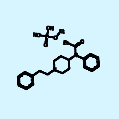 CCC(=O)N(c1ccccc1)C1CCN(CCc2ccccc2)CC1.CCOP(=O)(O)O